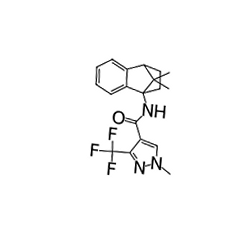 Cn1cc(C(=O)NC23CCC(c4ccccc42)C3(C)C)c(C(F)(F)F)n1